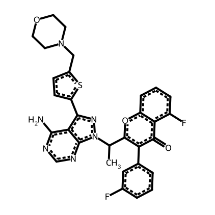 CC(c1oc2cccc(F)c2c(=O)c1-c1cccc(F)c1)n1nc(-c2ccc(CN3CCOCC3)s2)c2c(N)ncnc21